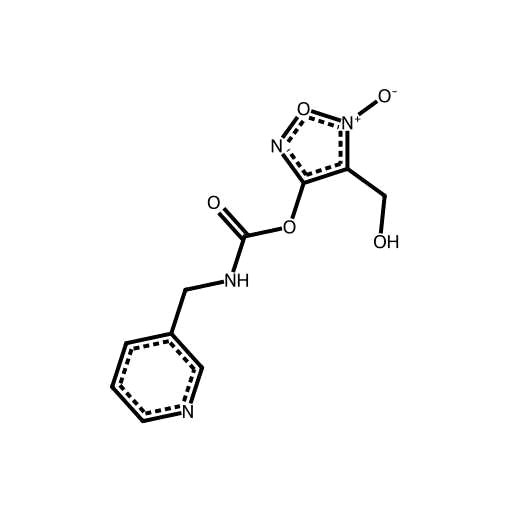 O=C(NCc1cccnc1)Oc1no[n+]([O-])c1CO